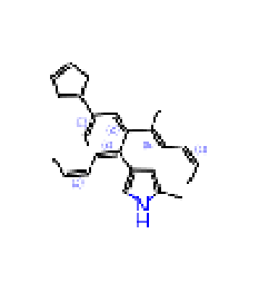 C\C=C/C=C(C(=C\C(=C/C)C1=CC=CC1)/C(C)=C/C=C\C)\c1c[nH]c(C)c1